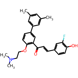 Cc1cc(C)cc(-c2ccc(OCCN(C)C)c(C(=O)C=Cc3ccc(O)c(F)c3)c2)c1